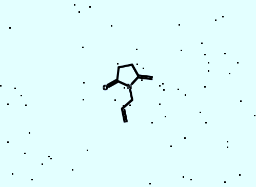 C=CCN1C(=C)CCC1=O